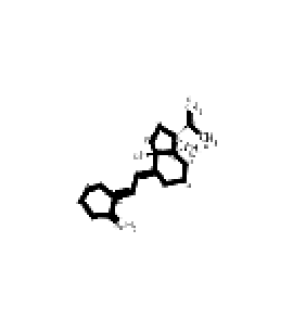 C=C1CCCCC1=CC=C1CCC[C@]2(C)[C@@H](C(C)C)CC[C@@H]12